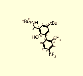 CC(C)(C)NCc1cc(C(C)(C)C)cc(-c2ccc(C(F)(F)F)cc2C(F)(F)F)c1O